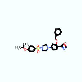 CC(C)Oc1ccc(S(=O)(=O)N2CCN(c3ccc(-c4cocn4)c(OCc4ccccc4)c3)CC2)cc1